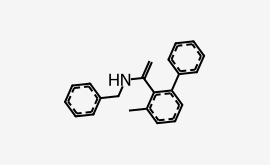 C=C(NCc1ccccc1)c1c(C)cccc1-c1ccccc1